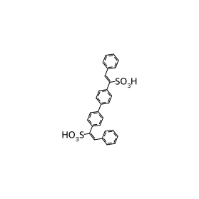 O=S(=O)(O)C(=Cc1ccccc1)c1ccc(-c2ccc(C(=Cc3ccccc3)S(=O)(=O)O)cc2)cc1